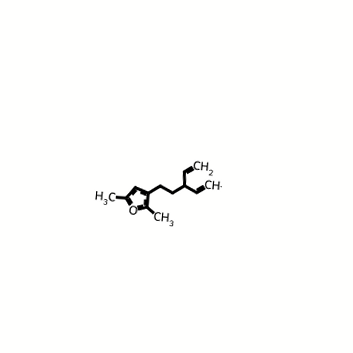 [CH]=CC(C=C)CCc1cc(C)oc1C